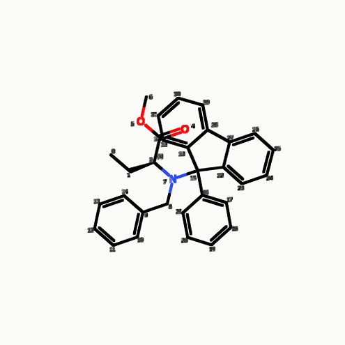 CC[C@@H](C(=O)OC)N(Cc1ccccc1)C1(c2ccccc2)c2ccccc2-c2ccccc21